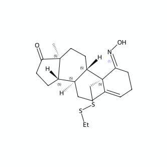 CCSSC[C@@]12C(=CCC/C1=N\O)CC[C@H]1[C@@H]3CCC(=O)[C@@]3(C)CC[C@@H]12